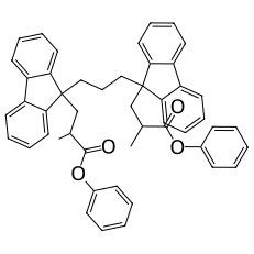 CC(CC1(CCCC2(CC(C)C(=O)Oc3ccccc3)c3ccccc3-c3ccccc32)c2ccccc2-c2ccccc21)C(=O)Oc1ccccc1